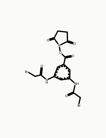 O=C(CBr)Nc1cc(NC(=O)CBr)cc(C(=O)ON2C(=O)CCC2=O)c1